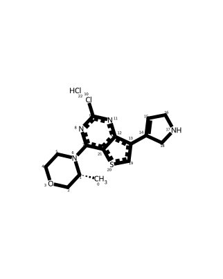 C[C@@H]1COCCN1c1nc(Cl)nc2c(C3=CCNC3)csc12.Cl